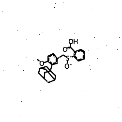 COc1ccc(C[S+]([O-])c2ccccc2C(=O)O)cc1C12CC3CC(CC(C3)C1)C2